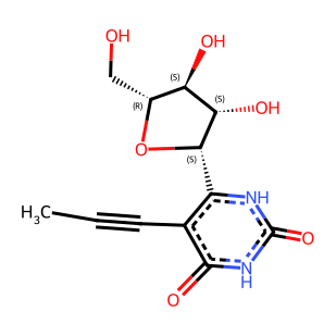 CC#Cc1c([C@@H]2O[C@H](CO)[C@@H](O)[C@@H]2O)[nH]c(=O)[nH]c1=O